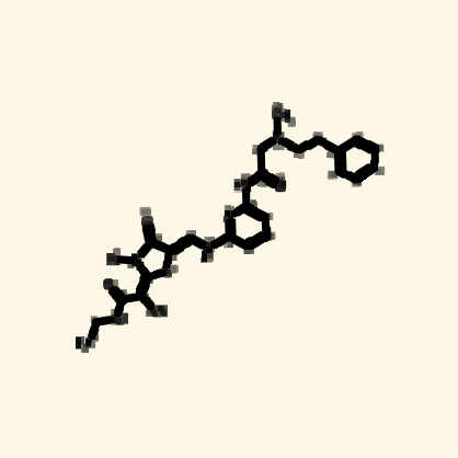 CCn1c(=C(C#N)C(=O)NCC(F)(F)F)sc(=CNc2cccc(NC(=O)CN(C)CCc3ccccc3)n2)c1=O